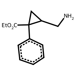 CCOC(=O)C1(c2ccccc2)CC1CN